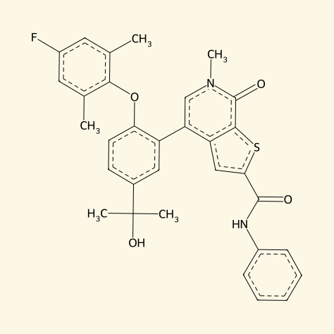 Cc1cc(F)cc(C)c1Oc1ccc(C(C)(C)O)cc1-c1cn(C)c(=O)c2sc(C(=O)Nc3ccccc3)cc12